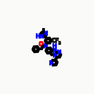 Cc1c[nH]c(-c2cc(N(C(=O)Cc3ccccc3)c3ccc(C)c(Nc4nccc(-c5cccnc5)n4)c3)cc(C(F)(F)F)c2)n1